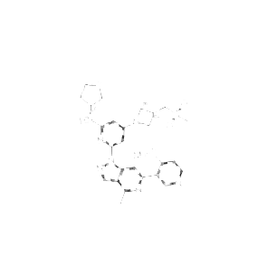 COc1ccncc1-c1cc2c(cnn2-c2cc(N3C[C@H](CS(C)(=O)=O)[C@H]3C)cc(N[C@H]3CCOC3)n2)c(C)n1